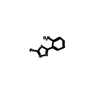 CC(C)c1nnc(-c2ccccc2[N+](=O)[O-])s1